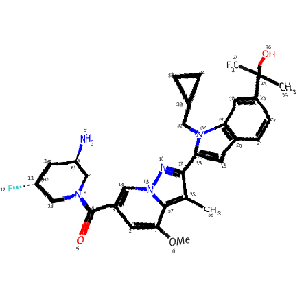 COc1cc(C(=O)N2C[C@H](N)C[C@@H](F)C2)cn2nc(-c3cc4ccc(C(C)(O)C(F)(F)F)cc4n3CC3CC3)c(C)c12